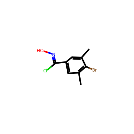 Cc1cc(C(Cl)=NO)cc(C)c1Br